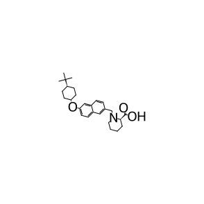 CC(C)(C)[C@H]1CC[C@H](Oc2ccc3cc(CN4CCCC[C@@H]4C(=O)O)ccc3c2)CC1